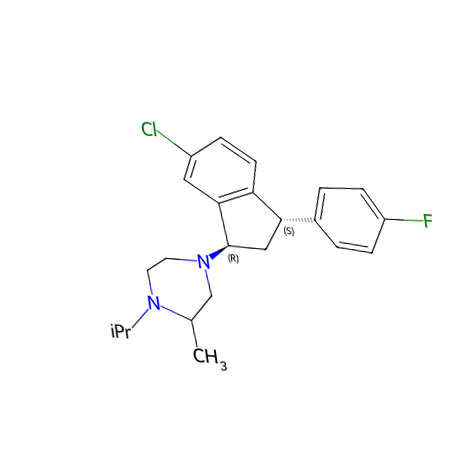 CC(C)N1CCN([C@@H]2C[C@@H](c3ccc(F)cc3)c3ccc(Cl)cc32)CC1C